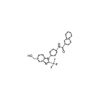 O=C(Nc1ccc(-n2c(C(F)(F)F)nc3cc(CO)ccc32)cc1)c1ccc2ccccc2c1